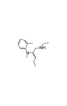 CC/C=C(/CNCC)N(C)c1ccccc1C